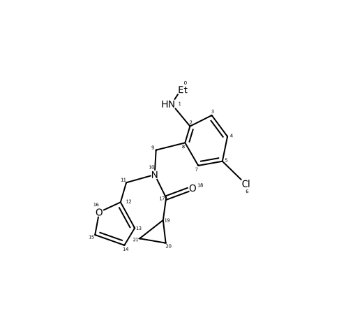 CCNc1ccc(Cl)cc1CN(Cc1ccco1)C(=O)C1CC1